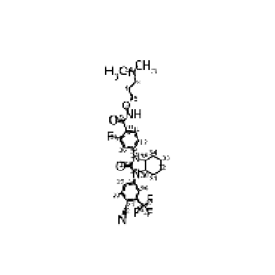 CN(C)CCCONC(=O)c1ccc(N2C(=O)N(c3ccc(C#N)c(C(F)(F)F)c3)C3CCCCC32)cc1F